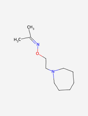 CC(C)=NOCCN1CCCCCC1